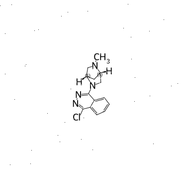 CN1C[C@@H]2C[C@H]1CN2c1nnc(Cl)c2ccccc12